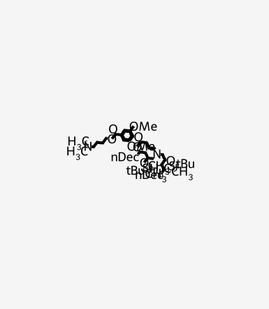 CCCCCCCCCCCCC(CN(CCCC(=O)Oc1c(OC)cc(C(=O)OCCCCN(C)C)cc1OC)CC(CCCCCCCCCCCC)O[Si](C)(C)C(C)(C)C)O[Si](C)(C)C(C)(C)C